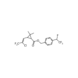 CC1(C)C(C=C(Cl)C(F)(F)F)C1C(=O)OCc1ccc(C(F)C(F)(F)F)cc1